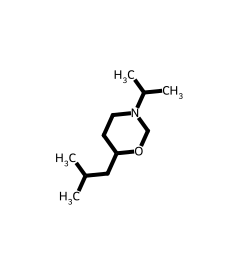 CC(C)CC1CCN(C(C)C)CO1